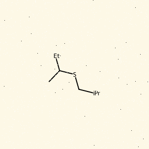 C[CH]C(C)SCC(C)C